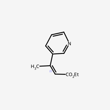 CCOC(=O)/C=C(/C)c1cccnc1